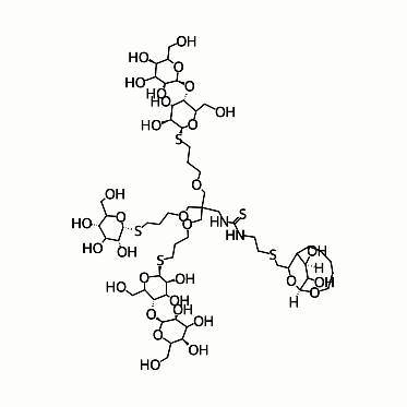 OCC1O[C@H](SCCCOCC(CNC(=S)NCCSCC2O[C@@H]3OCCCCCC2[C@@H](O)C3O)(COCCCS[C@@H]2OC(CO)[C@@H](O[C@@H]3OC(CO)[C@H](O)C(O)[C@@H]3O)C(O)[C@@H]2O)COCCCS[C@@H]2OC(CO)[C@@H](O[C@@H]3OC(CO)[C@H](O)C(O)[C@@H]3O)C(O)[C@@H]2O)[C@H](O)C(O)[C@@H]1O